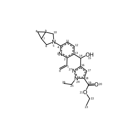 C=Cc1nc(N2CC3CC3C2)ccc1C(O)c1cc(C(=O)OCC)n(CC)n1